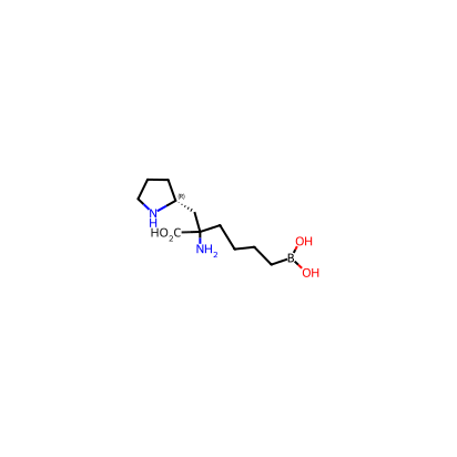 NC(CCCCB(O)O)(C[C@H]1CCCN1)C(=O)O